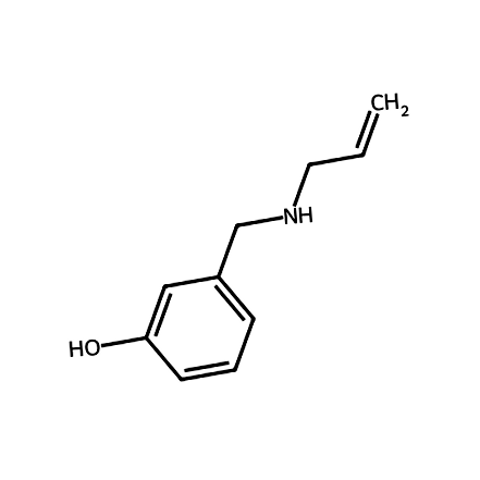 C=CCNCc1cccc(O)c1